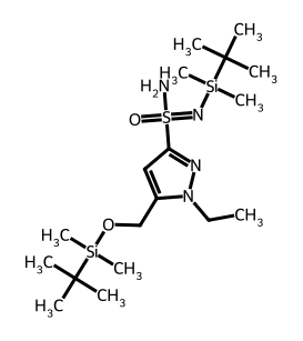 CCn1nc(S(N)(=O)=N[Si](C)(C)C(C)(C)C)cc1CO[Si](C)(C)C(C)(C)C